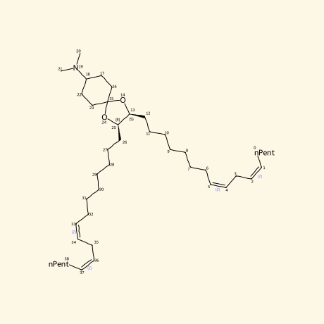 CCCCC/C=C\C/C=C\CCCCCCC[C@@H]1OC2(CCC(N(C)C)CC2)O[C@@H]1CCCCCCC/C=C\C/C=C\CCCCC